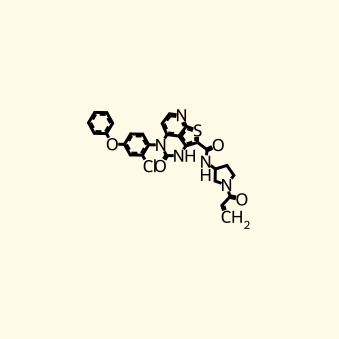 C=CC(=O)N1CCC(NC(=O)c2sc3nccc4c3c2NC(=O)N4c2ccc(Oc3ccccc3)cc2Cl)C1